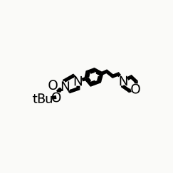 CC(C)(C)OC(=O)N1CCN(c2ccc(CCCN3CCOCC3)cc2)CC1